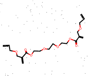 C=CCOCC(=C)C(=O)OCCOCCOCCOC(=O)C(=C)COCC=C